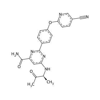 CC(=O)[C@H](C)Nc1cc(C(N)=O)nc(-c2ccc(Oc3ccc(C#N)cn3)cc2)n1